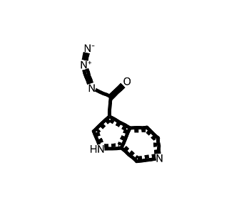 [N-]=[N+]=NC(=O)c1c[nH]c2cnccc12